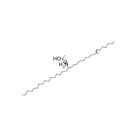 CC(=O)O.CCCCCCCCCCCCCCCCC(N)CCCCCCCCCCCCCCCC